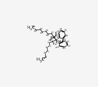 CCCCCCCC(F)(F)C(O)(c1ccccc1-c1ccccc1)C(F)(F)CCCCCCC